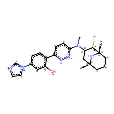 CN(c1ccc(-c2ccc(-n3ccnc3)cc2O)nn1)[C@@H]1C[C@@]2(C)CCC[C@H](N2)[C@@H]1F